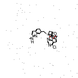 CNc1ccc2c(n1)=CC(CC[C@]13C[C@@H](n4ccc5c(Cl)ncnc54)[C@@]4(C1)OC(C)(C)O[C@H]34)CC=2